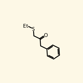 CCSCC(=O)Cc1ccccc1